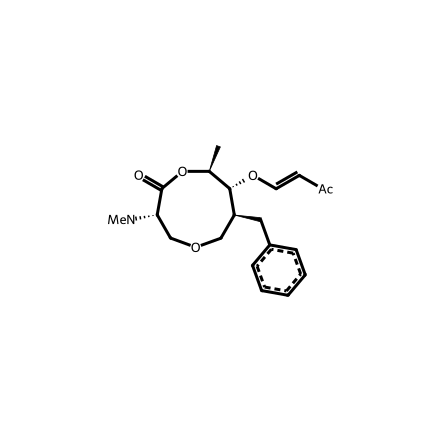 CN[C@H]1COC[C@H](Cc2ccccc2)[C@@H](O/C=C/C(C)=O)[C@H](C)OC1=O